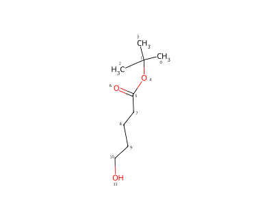 CC(C)(C)OC(=O)CCCCO